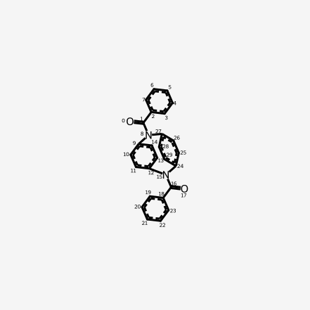 O=C(c1ccccc1)N1c2ccc(cc2)N(C(=O)c2ccccc2)c2ccc1cc2